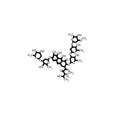 COC1CC(OC2CC(OC3CC(OC4C(=O)c5c(cc6cc(OC7CC(OC8CC(O)C(O)C(C)O8)C(O)C(C)O7)c(C)c(O)c6c5O)CC4C(OC)C(=O)C(O)C(C)O)OC(C)C3O)OC(C)C2O)OC(C)C1O